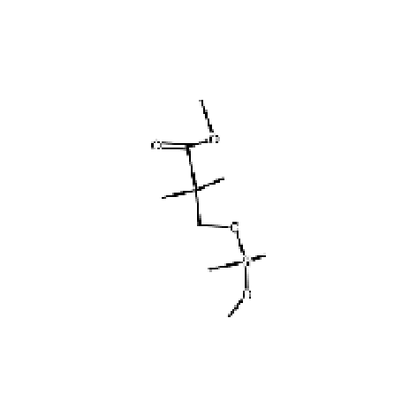 COC(=O)C(C)(C)CO[Si](C)(C)OC